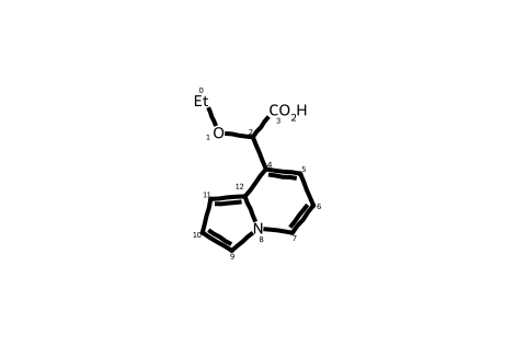 CCOC(C(=O)O)c1cccn2cccc12